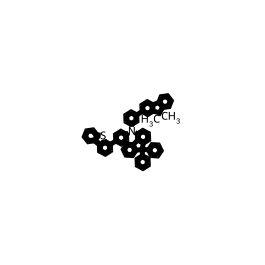 CC1(C)c2ccccc2-c2ccc(-c3cccc(N(c4ccc(-c5cccc6c5sc5ccccc56)cc4)c4cccc5c4-c4ccccc4C5(c4ccccc4)c4ccccc4)c3)cc21